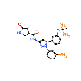 C[C@H]1C(=O)NC[C@@H]1C(=O)Nc1cc(-c2cccc(OC(C)(P)P)c2)n(-c2cccc(P)c2)n1